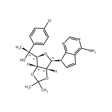 CC1(C)O[C@@H]2[C@H](O1)[C@@H]([C@](C)(O)c1ccc(Cl)cc1)O[C@H]2n1ccc2c(N)ncnc21